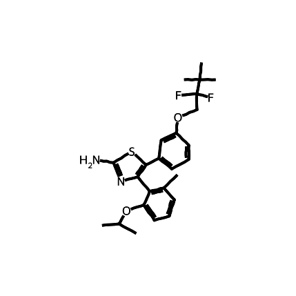 Cc1cccc(OC(C)C)c1-c1nc(N)sc1-c1cccc(OCC(F)(F)C(C)(C)C)c1